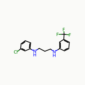 FC(F)(F)c1cccc(NCCCNc2cccc(Cl)c2)c1